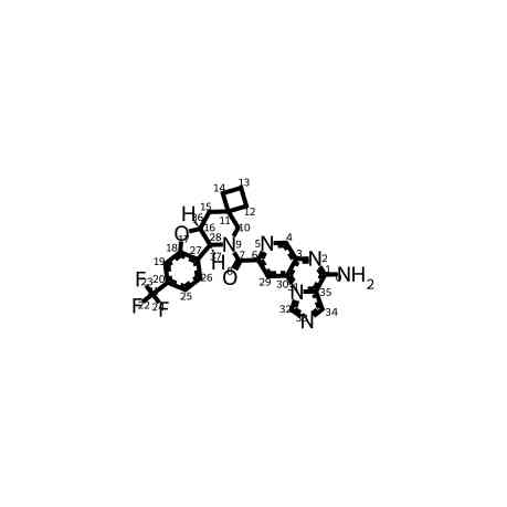 Nc1nc2cnc(C(=O)N3CC4(CCC4)C[C@@H]4Oc5cc(C(F)(F)F)ccc5[C@@H]43)cc2n2cncc12